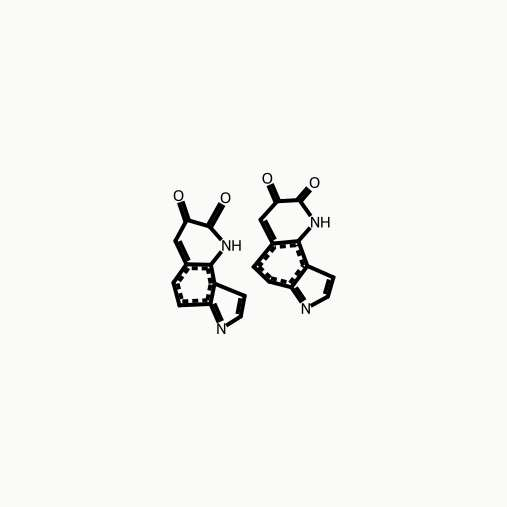 O=C1C=c2ccc3c(c2NC1=O)C=CN=3.O=C1C=c2ccc3c(c2NC1=O)C=CN=3